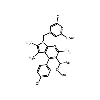 COc1cc(Cn2c(C)c(C)c3c(-c4ccc(Cl)cc4)c(C(OC(C)(C)C)C(C)=O)c(C)nc32)cc(Cl)n1